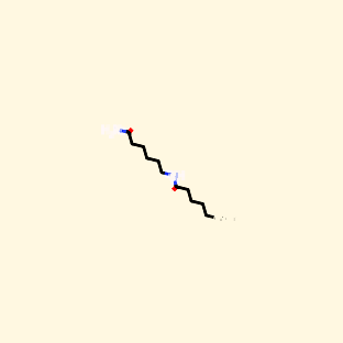 CCCCCCCCCCCCCC(=O)NCCCCCC(N)=O